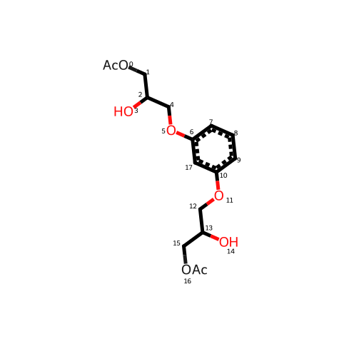 CC(=O)OCC(O)COc1cccc(OCC(O)COC(C)=O)c1